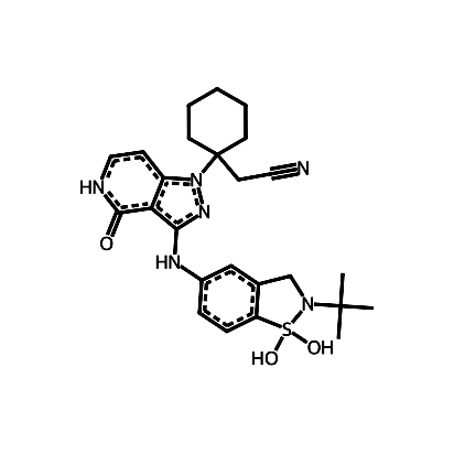 CC(C)(C)N1Cc2cc(Nc3nn(C4(CC#N)CCCCC4)c4cc[nH]c(=O)c34)ccc2S1(O)O